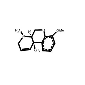 COc1cccc2c1OC[C@@H]1N(C)CC=C[C@@]21C